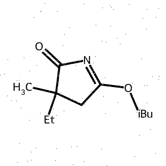 CCC(C)OC1=NC(=O)C(C)(CC)C1